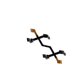 CC(C)(S)CCC(C)(C)S